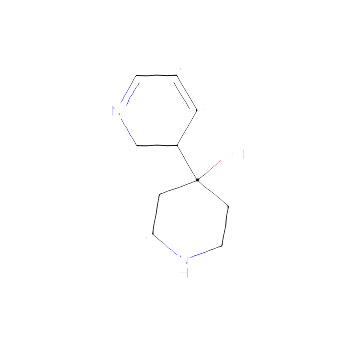 OC1(C2C=CC=NC2)CCNCC1